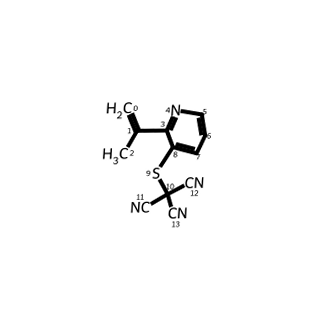 C=C(C)c1ncccc1SC(C#N)(C#N)C#N